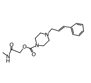 CNC(=O)COC(=O)N1CCN(CC=Cc2ccccc2)CC1